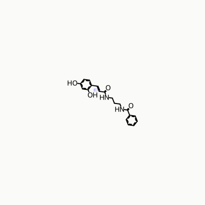 O=C(/C=C/c1ccc(O)cc1O)NCCCNC(=O)c1ccccc1